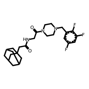 O=C(CC12CC3CC(CC(C3)C1)C2)NCC(=O)N1CCN(Cc2cc(F)cc(F)c2F)CC1